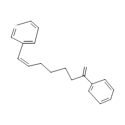 O=C(CCCC/C=C\c1cccnc1)c1ccccc1